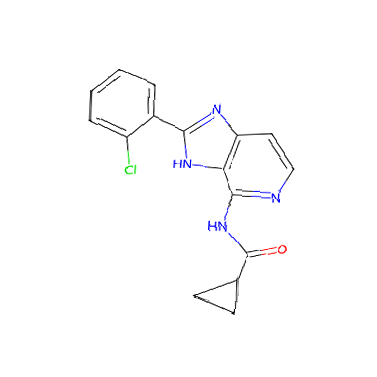 O=C(Nc1nccc2nc(-c3ccccc3Cl)[nH]c12)C1CC1